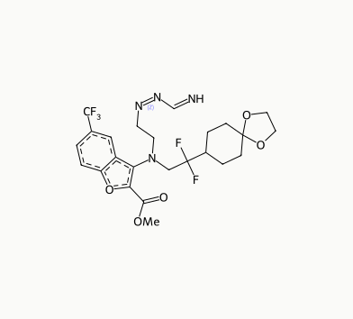 COC(=O)c1oc2ccc(C(F)(F)F)cc2c1N(CC/N=N\C=N)CC(F)(F)C1CCC2(CC1)OCCO2